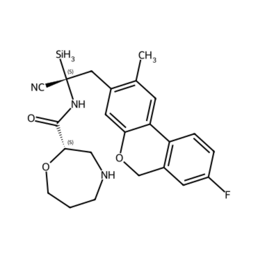 Cc1cc2c(cc1C[C@]([SiH3])(C#N)NC(=O)[C@@H]1CNCCCO1)OCc1cc(F)ccc1-2